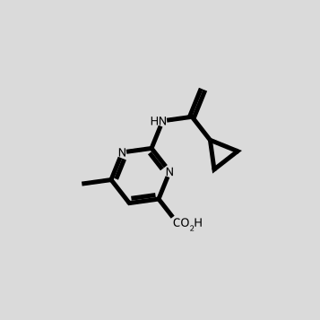 C=C(Nc1nc(C)cc(C(=O)O)n1)C1CC1